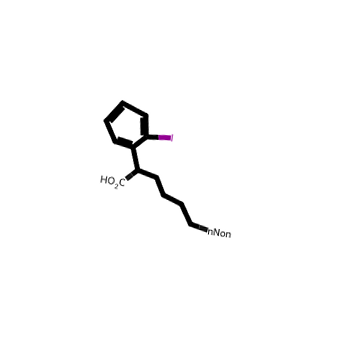 CCCCCCCCCCCCCC(C(=O)O)c1ccccc1I